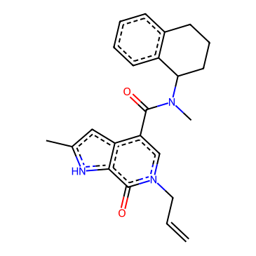 C=CCn1cc(C(=O)N(C)C2CCCc3ccccc32)c2cc(C)[nH]c2c1=O